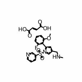 CNCc1cc(-c2c(F)cccc2OC)n(S(=O)(=O)c2cccnc2)c1.O=C(O)/C=C/C(=O)O